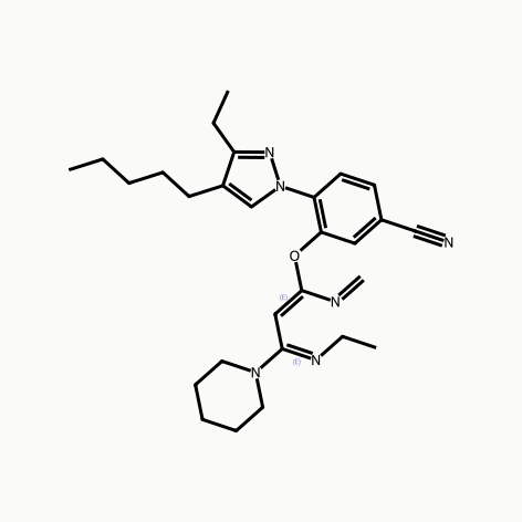 C=N/C(=C\C(=N/CC)N1CCCCC1)Oc1cc(C#N)ccc1-n1cc(CCCCC)c(CC)n1